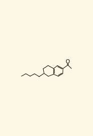 CCCCCC1CCc2cc(C(C)=O)ccc2C1